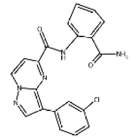 NC(=O)c1ccccc1NC(=O)c1ccn2ncc(-c3cccc(Cl)c3)c2n1